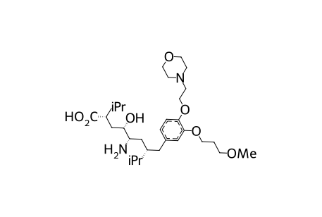 COCCCOc1cc(C[C@@H](C[C@H](N)[C@@H](O)C[C@H](C(=O)O)C(C)C)C(C)C)ccc1OCCN1CCOCC1